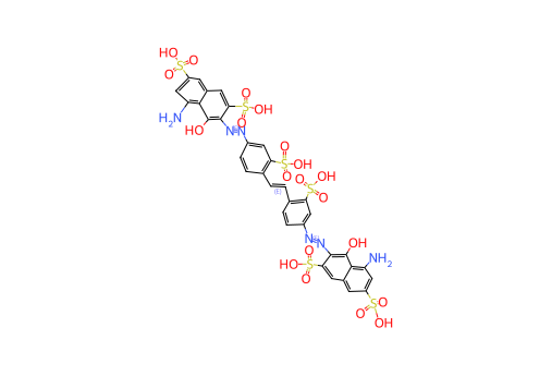 Nc1cc(S(=O)(=O)O)cc2cc(S(=O)(=O)O)c(/N=N/c3ccc(/C=C/c4ccc(/N=N/c5c(S(=O)(=O)O)cc6cc(S(=O)(=O)O)cc(N)c6c5O)cc4S(=O)(=O)O)c(S(=O)(=O)O)c3)c(O)c12